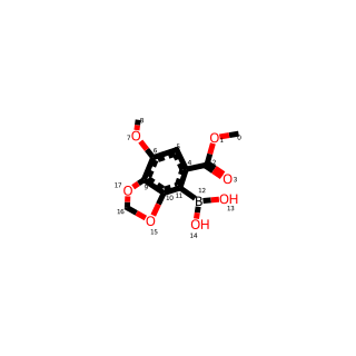 COC(=O)c1cc(OC)c2c(c1B(O)O)OCO2